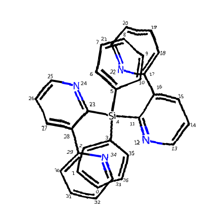 c1ccc([Si](c2ccccc2)(c2ncccc2-c2ccccn2)c2ncccc2-c2ccccn2)cc1